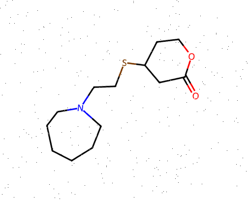 O=C1CC(SCCN2CCCCCC2)CCO1